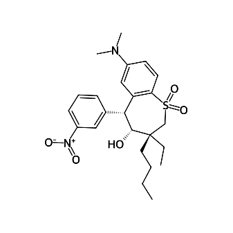 CCCC[C@]1(CC)CS(=O)(=O)c2ccc(N(C)C)cc2[C@@H](c2cccc([N+](=O)[O-])c2)[C@H]1O